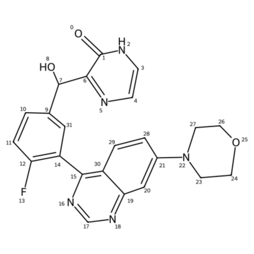 O=c1[nH]ccnc1C(O)c1ccc(F)c(-c2ncnc3cc(N4CCOCC4)ccc23)c1